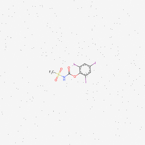 O=C(NS(=O)(=O)C(F)(F)F)Oc1c(I)cc(I)cc1I